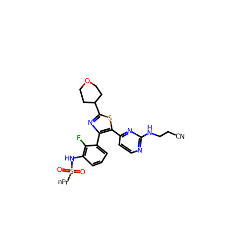 CCCS(=O)(=O)Nc1cccc(-c2nc(C3CCOCC3)sc2-c2ccnc(NCCC#N)n2)c1F